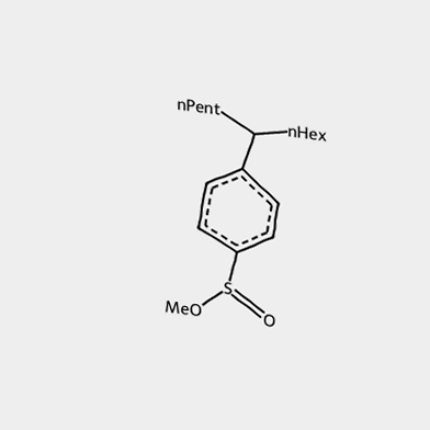 CCCCCCC(CCCCC)c1ccc(S(=O)OC)cc1